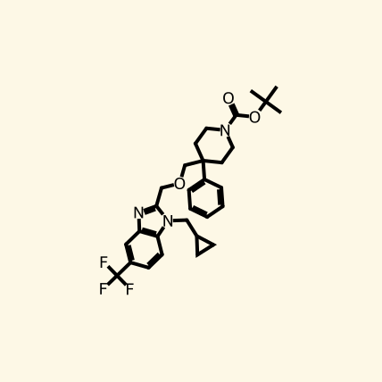 CC(C)(C)OC(=O)N1CCC(COCc2nc3cc(C(F)(F)F)ccc3n2CC2CC2)(c2ccccc2)CC1